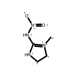 C[N+]1=C(N[N+](=O)[O-])NCC1